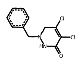 O=C1NN(Cc2ccccc2)CC(Cl)=C1Cl